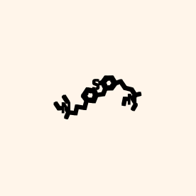 CCN(CC)C(C)CCCc1ccc2c(c1)Cc1cc(CCCC(C)N(CC)CC)ccc1S2